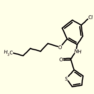 CCCCCOc1ccc(Cl)cc1NC(=O)c1cccs1